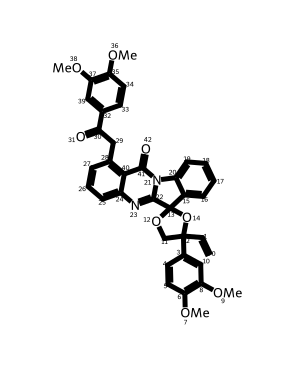 C=CC1(c2ccc(OC)c(OC)c2)COC2(O1)c1ccccc1-n1c2nc2cccc(CC(=O)c3ccc(OC)c(OC)c3)c2c1=O